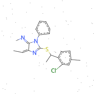 C/C=C1/N=C(SC(C)c2ccc(C)cc2Cl)N(c2ccccc2)/C1=N/C